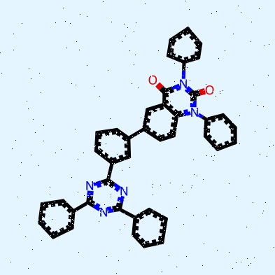 O=c1c2cc(-c3cccc(-c4nc(-c5ccccc5)nc(-c5ccccc5)n4)c3)ccc2n(-c2ccccc2)c(=O)n1-c1ccccc1